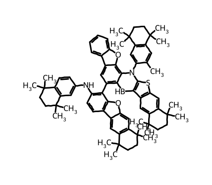 Cc1cc2c(cc1N1c3sc4cc5c(cc4c3Bc3c(-c4c(Nc6ccc7c(c6)C(C)(C)CCC7(C)C)ccc6c4oc4cc7c(cc46)C(C)(C)CCC7(C)C)cc4c(oc6ccccc64)c31)C(C)(C)CCC5(C)C)C(C)(C)CCC2(C)C